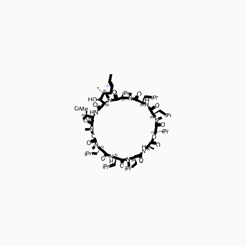 C/C=C/C[C@@H](C)[C@@H](O)[C@@H]1C(=O)N[C@H]([C@@H](C)OC)C(=O)N(C)CC(=O)N(C)[C@@H](CC(C)C)C(=O)N[C@H](CC(C)C)C(=O)N(C)[C@H](CC(C)C)C(=O)N[C@H](C)C(=O)O[C@@H](C(C)C)C(=O)N(C)[C@H](CC(C)C)C(=O)N[C@H](CC(C)C)C(=O)N(C)[C@H](C(C)C)C(=O)N1C